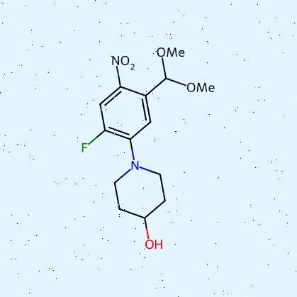 COC(OC)c1cc(N2CCC(O)CC2)c(F)cc1[N+](=O)[O-]